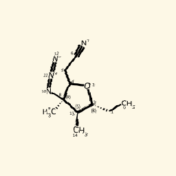 CC[C@H]1OC(CC#N)[C@](C)(N=[N+]=[N-])[C@@H]1C